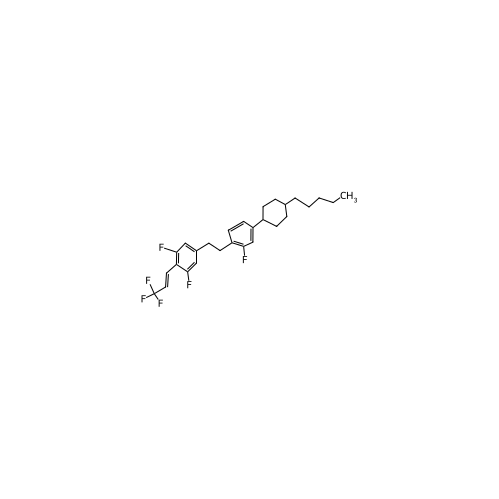 CCCCCC1CCC(c2ccc(CCc3cc(F)c(/C=C/C(F)(F)F)c(F)c3)c(F)c2)CC1